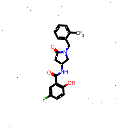 O=C(NC1CC(=O)N(Cc2ccccc2C(F)(F)F)C1)c1cc(F)ccc1O